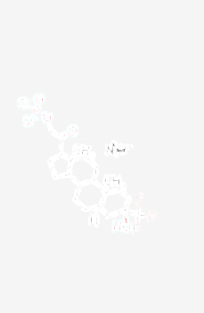 C[C@]12CCC3C(CC[C@@H]4C[C@@](O)(C(F)(F)F)CC[C@]34C)C1CC[C@@H]2C(=O)COP(=O)([O-])[O-].[Na+].[Na+]